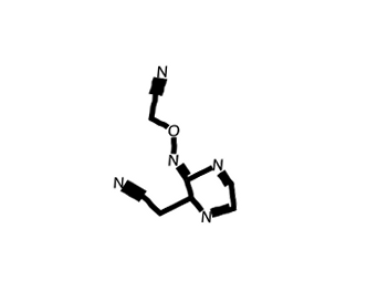 N#CCON=C1N=CC=NC1CC#N